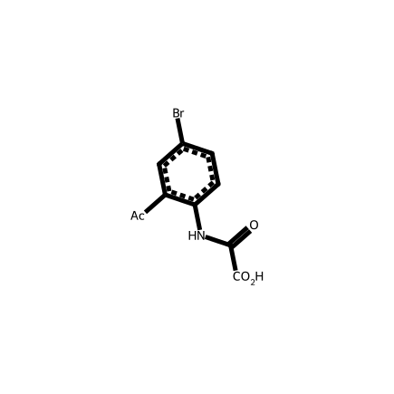 CC(=O)c1cc(Br)ccc1NC(=O)C(=O)O